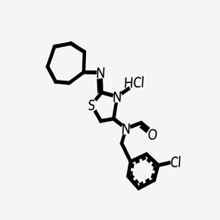 CN1C(=NC2CCCCCC2)SCC1N(C=O)Cc1cccc(Cl)c1.Cl